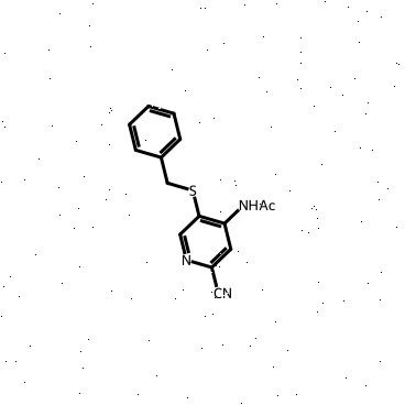 CC(=O)Nc1cc(C#N)ncc1SCc1ccccc1